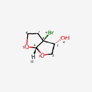 O[C@@H]1CO[C@@H]2OCC[C@@]21Br